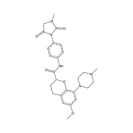 COc1cc2c(c(N3CCN(C)CC3)c1)OC(C(=O)Nc1ccc(N3C(=O)CN(C)C3=O)cc1)CC2